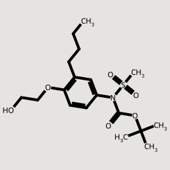 CCCCc1cc(N(C(=O)OC(C)(C)C)S(C)(=O)=O)ccc1OCCO